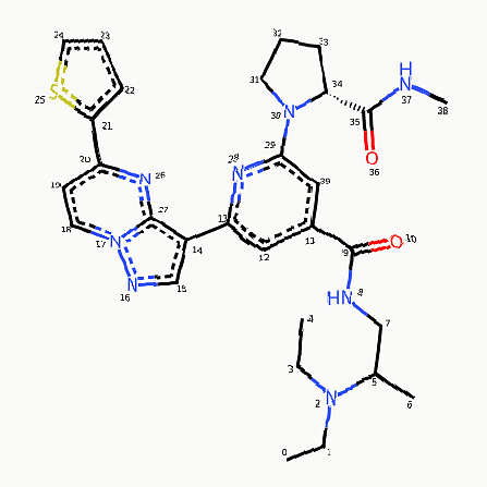 CCN(CC)C(C)CNC(=O)c1cc(-c2cnn3ccc(-c4cccs4)nc23)nc(N2CCC[C@@H]2C(=O)NC)c1